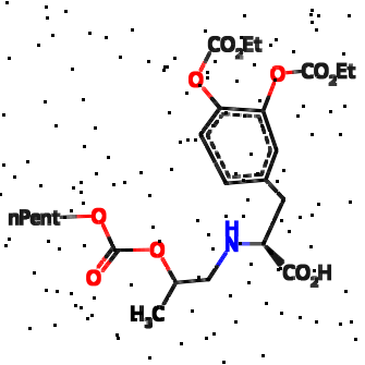 CCCCCOC(=O)OC(C)CN[C@@H](Cc1ccc(OC(=O)OCC)c(OC(=O)OCC)c1)C(=O)O